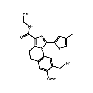 COc1cc2c(cc1CC(C)C)-n1c(-c3cc(C)cs3)nc(C(=O)NCC(C)(C)C)c1CC2